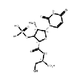 CO[C@H]1C(OP(=O)(O)C(C)C)[C@@H](C(=O)N[C@H](CO)C(=O)O)O[C@H]1n1ccc(=O)[nH]c1=O